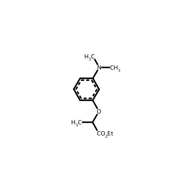 CCOC(=O)C(C)Oc1cccc(N(C)C)c1